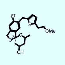 CCc1cc2c(cc1Cc1ccc(CCOC)s1)[C@]1(CC(O)CC(C)O1)OC2